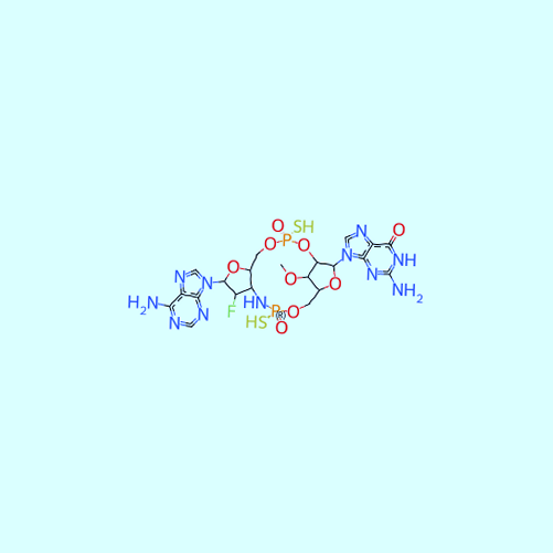 COC1C2CO[P@@](=O)(S)NC3C(COP(=O)(S)OC1C(n1cnc4c(=O)[nH]c(N)nc41)O2)OC(n1cnc2c(N)ncnc21)C3F